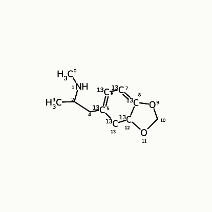 CNC(C)C[13C]1=[13CH][13CH]=[13C]2OCO[13CH]2[13CH2]1